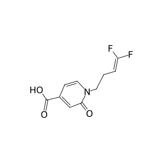 O=C(O)c1ccn(CCC=C(F)F)c(=O)c1